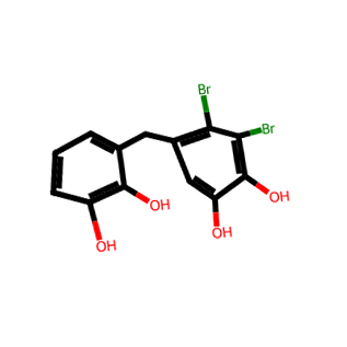 Oc1cccc(Cc2cc(O)c(O)c(Br)c2Br)c1O